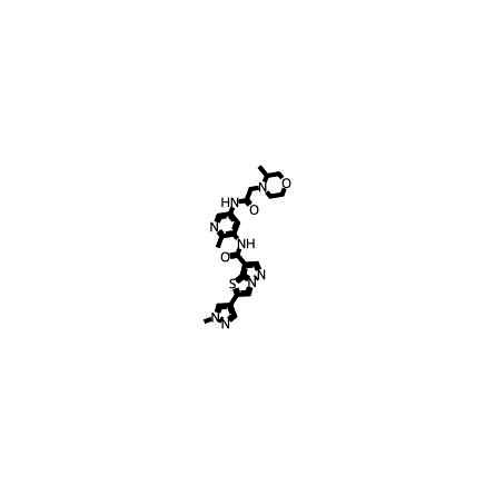 Cc1ncc(NC(=O)CN2CCOCC2C)cc1NC(=O)c1cnn2cc(-c3cnn(C)c3)sc12